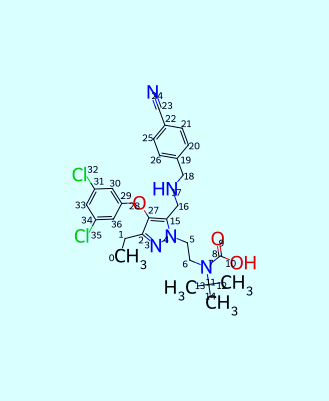 CCc1nn(CCN(C(=O)O)C(C)(C)C)c(CNCc2ccc(C#N)cc2)c1Oc1cc(Cl)cc(Cl)c1